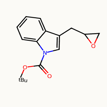 CC(C)(C)OC(=O)n1cc(CC2CO2)c2ccccc21